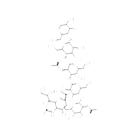 CC(=O)NC1C(O)[C@@H](O)C(CO)O[C@H]1O[C@H]1C(CO)O[C@@H](OC2C(NC(C)=O)[C@H](O[C@H]3C(CO)O[C@@H](O[C@@H]4C(CO)OCC(O)C4O)C(O)C3O)OC(CO)[C@@H]2O)C(O)C1O[C@]1(C(=O)O)CC(O)[C@@H](NC(C)=O)C([C@H](O)[C@H](O)CO)O1